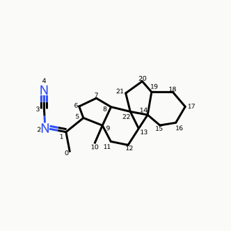 C/C(=N/C#N)C1CCC2C1(C)CCC1C34CCCCC3CCC214